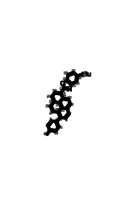 Cc1ccc(-c2ccc3ccc4c(-c5nc6cc(C(C)(C)C)ccc6o5)ccc5ccc2c3c54)cc1